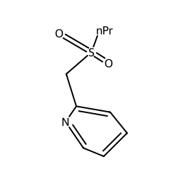 CCCS(=O)(=O)Cc1ccccn1